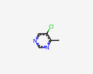 Cc1ncn[c]c1Cl